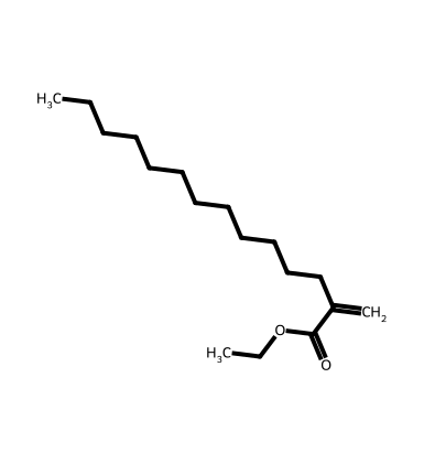 C=C(CCCCCCCCCCCC)C(=O)OCC